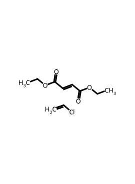 C=CCl.CCOC(=O)C=CC(=O)OCC